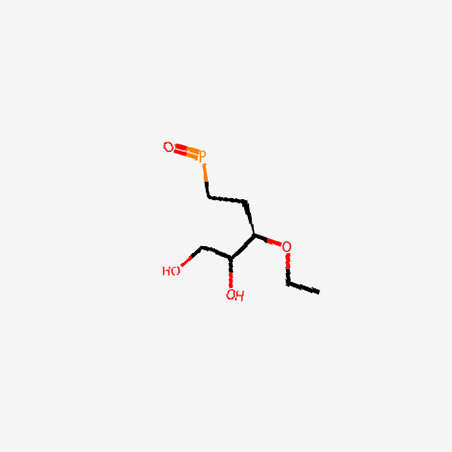 CCO[C@H](CCP=O)C(O)CO